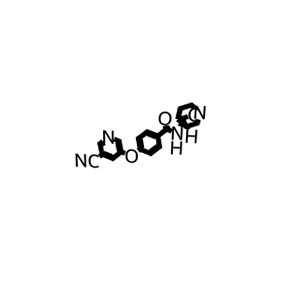 N#Cc1cncc(Oc2ccc(C(=O)N[C@H]3CN4CCC3CC4)cc2)c1